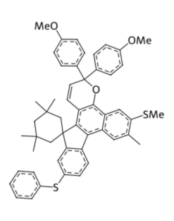 COc1ccc(C2(c3ccc(OC)cc3)C=Cc3c4c(c5cc(C)c(SC)cc5c3O2)-c2ccc(Sc3ccccc3)cc2C42CC(C)(C)CC(C)(C)C2)cc1